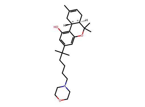 CC1=CC[C@@H]2[C@@H](C1)c1c(O)cc(C(C)(C)CCCCN3CCOCC3)cc1OC2(C)C